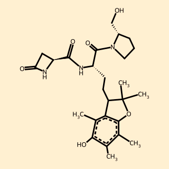 Cc1c(C)c2c(c(C)c1O)C(CC[C@H](NC(=O)[C@@H]1CC(=O)N1)C(=O)N1CCC[C@H]1CO)C(C)(C)O2